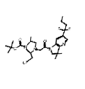 CCCC(F)(F)c1cnc2c(c1)N(C(=O)CN1CC(C)N(C(=O)OC(C)(C)C)CC1CCl)CC2(C)C